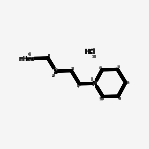 CCCCCCCSCCN1CCCCC1.Cl